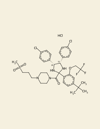 CC(C)(C)c1ccc(C2(C(=O)N3CCN(CCCS(C)(=O)=O)CC3)N[C@H](c3ccc(Cl)cc3)[C@H](c3ccc(Cl)cc3)N2)c(OCC(F)(F)F)c1.Cl